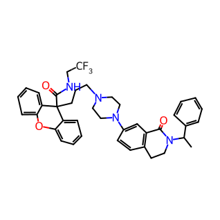 CC(c1ccccc1)N1CCc2ccc(N3CCN(CCCC4(C(=O)NCC(F)(F)F)c5ccccc5Oc5ccccc54)CC3)cc2C1=O